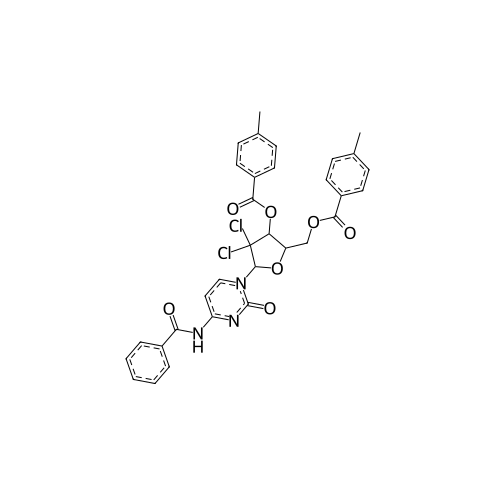 Cc1ccc(C(=O)OCC2OC(n3ccc(NC(=O)c4ccccc4)nc3=O)C(Cl)(Cl)C2OC(=O)c2ccc(C)cc2)cc1